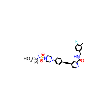 Cc1cc(CNC(=O)c2cc(C#Cc3ccc(N4CCN(S(=O)(=O)N[C@@H](C(=O)O)C(C)C)CC4)cc3)ccn2)ccc1F